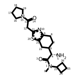 CN(C(=O)[C@@H](N)C1CCc2nc(CC(=O)N3CCCC3)sc2C1)C1CCC1